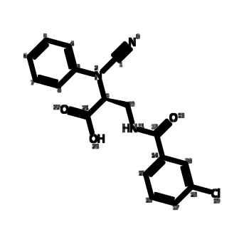 N#CN(c1ccccc1)[C@@H](CNC(=O)c1cccc(Cl)c1)C(=O)O